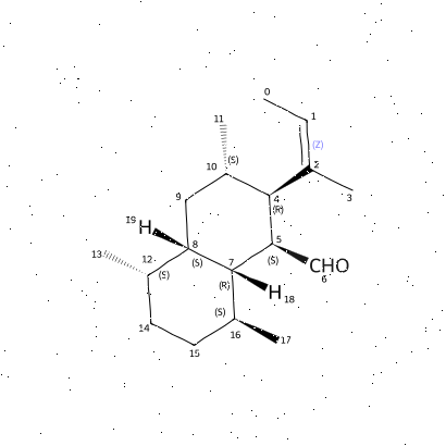 C/C=C(/C)[C@H]1[C@@H](C=O)[C@H]2[C@@H](C[C@@H]1C)[C@@H](C)CC[C@@H]2C